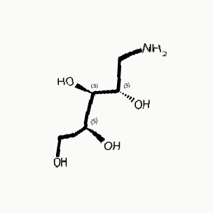 NC[C@H](O)[C@H](O)[C@@H](O)CO